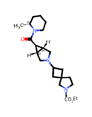 CCOC(=O)N1CCC2(CC(N3C[C@@H]4C(C(=O)N5CCCC[C@H]5C)[C@@H]4C3)C2)C1